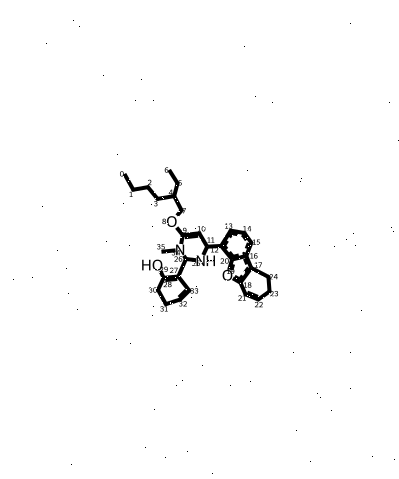 CCCCC(CC)COC1=CC(c2cccc3c4c(oc23)C=CCC4)NC(C2=C(O)CCC=C2)N1C